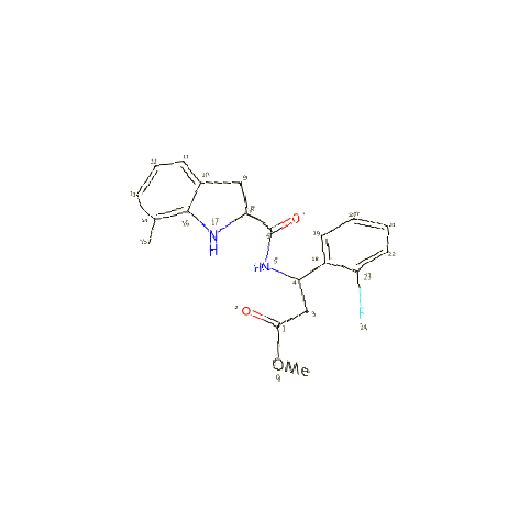 COC(=O)CC(NC(=O)C1Cc2cccc(C)c2N1)c1ccccc1F